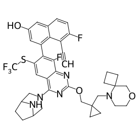 C#Cc1c(F)ccc2cc(O)cc(-c3c(SC(F)(F)F)cc4c(N5CC6CCC(C5)N6)nc(OCC5(CN6CCOCC67CCC7)CC5)nc4c3F)c12